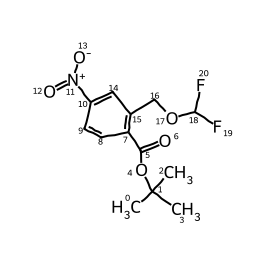 CC(C)(C)OC(=O)c1ccc([N+](=O)[O-])cc1COC(F)F